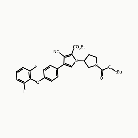 CCOC(=O)c1c(C#N)c(-c2ccc(Oc3c(F)cccc3F)cc2)cn1C1CCN(C(=O)OC(C)(C)C)C1